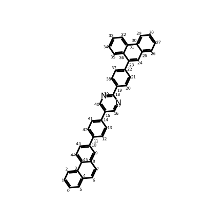 c1ccc2c(c1)ccc1cc(-c3ccc(-c4cnc(-c5ccc(-c6cc7ccccc7c7ccccc67)cc5)nc4)cc3)ccc12